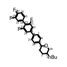 CCCCC1CCC(c2ccc(-c3cc(F)c(-c4ccc(F)c(F)c4)c(F)c3)cc2)OC1